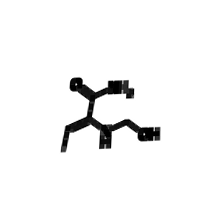 C/C=C(\NCO)C(N)=O